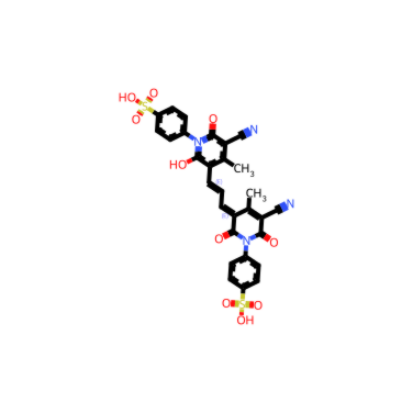 CC1=C(C#N)C(=O)N(c2ccc(S(=O)(=O)O)cc2)C(=O)/C1=C/C=C/c1c(C)c(C#N)c(=O)n(-c2ccc(S(=O)(=O)O)cc2)c1O